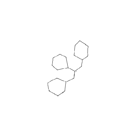 C1CCC(C[C](CC2CCCCC2)C2CCCCC2)CC1